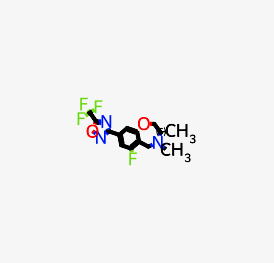 C[C@H]1COc2cc(-c3noc(C(F)(F)F)n3)cc(F)c2CN1C